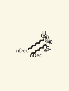 CCCCCCCCCCCCCCCCCC[PH](=O)[O-].CCCCCCCCCCCCCCCCCC[PH](=O)[O-].[Fe+2]